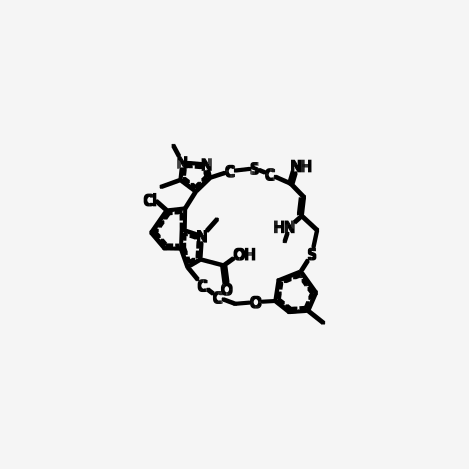 CN/C1=C\C(=N)CSCc2nn(C)c(C)c2-c2c(Cl)ccc3c(c(C(=O)O)n(C)c23)CCCOc2cc(C)cc(c2)SC1